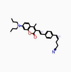 CCCN(CCC)c1ccc2c(C)c(/C=C/c3ccc(/C=C\CCC#N)cc3)c(=O)oc2c1